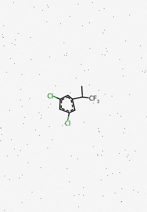 CC(c1cc(Cl)cc(Cl)c1)C(F)(F)F